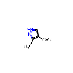 COc1c[nH]nc1C